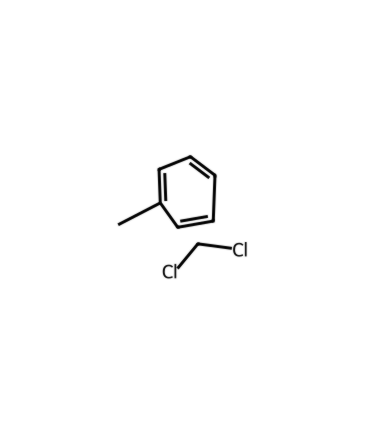 Cc1ccccc1.ClCCl